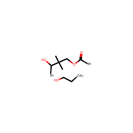 CC(=O)OCCO.CC(C)C(=O)OCC(C)(C)C(O)C(C)C